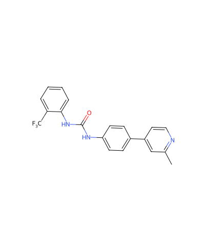 Cc1cc(-c2ccc(NC(=O)Nc3ccccc3C(F)(F)F)cc2)ccn1